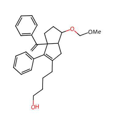 C=C(c1ccccc1)C12CCC(OCOC)C1CC(CCCCO)=C2c1ccccc1